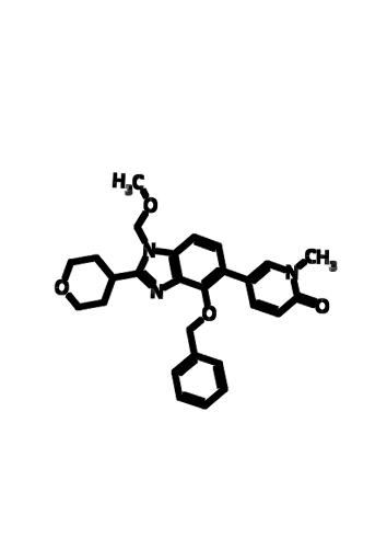 COCn1c(C2CCOCC2)nc2c(OCc3ccccc3)c(-c3ccc(=O)n(C)c3)ccc21